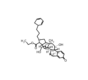 CCOC(=O)C1[C@@H]2C[C@H]3[C@@H]4CCC5=CC(=O)C=C[C@]5(C)[C@H]4[C@@H](O)C[C@]3(C)[C@]2(C(=O)CO)CN1CCCC1C=CC=CC1